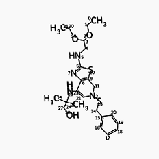 CCOC(CNc1nc2c(s1)CN(SCc1ccccc1)C=C2NC(C)(C)CO)OCC